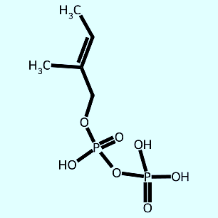 C/C=C(\C)COP(=O)(O)OP(=O)(O)O